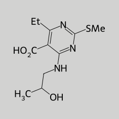 CCc1nc(SC)nc(NCC(C)O)c1C(=O)O